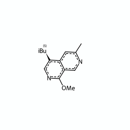 CC[C@H](C)c1cnc(OC)c2cnc(C)cc12